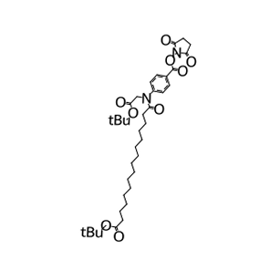 CC(C)(C)OC(=O)CCCCCCCCCCCCCCC(=O)N(CC(=O)OC(C)(C)C)c1ccc(C(=O)ON2C(=O)CCC2=O)cc1